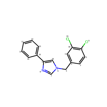 Clc1ccc(Cn2cnc(-c3ccccc3)c2)cc1Cl